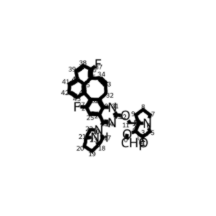 O=COC1[C@@H](F)CN2CCC[C@@]12COc1nc(N2CC3CCC(C2)N3)c2cc(F)c3c(c2n1)CC#Cc1c(F)ccc2cccc-3c12